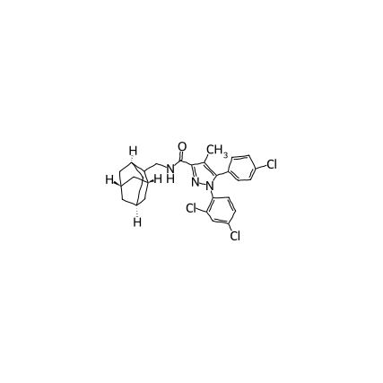 Cc1c(C(=O)NCC2[C@H]3C[C@@H]4C[C@@H](C[C@H]2C4)C3)nn(-c2ccc(Cl)cc2Cl)c1-c1ccc(Cl)cc1